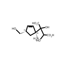 N[C@@]1(C(O)(C(=O)O)C(O)C(=O)O)C=C[C@@H](CO)C1